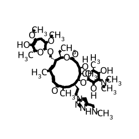 CC[C@H]1OC(=O)C[C@@H](O)[C@H](C)[C@@H](O[C@@H]2O[C@H](C)[C@@H](O)C(N(C)C)C2O)[C@@H](CCn2cc(CNC)nn2)C[C@@H](C)C(=O)/C=C/C(C)=C/[C@@H]1CO[C@@H]1OC(C)C(O)=C(OC)CC1OC